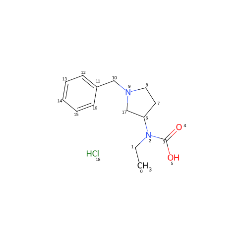 CCN(C(=O)O)C1CCN(Cc2ccccc2)C1.Cl